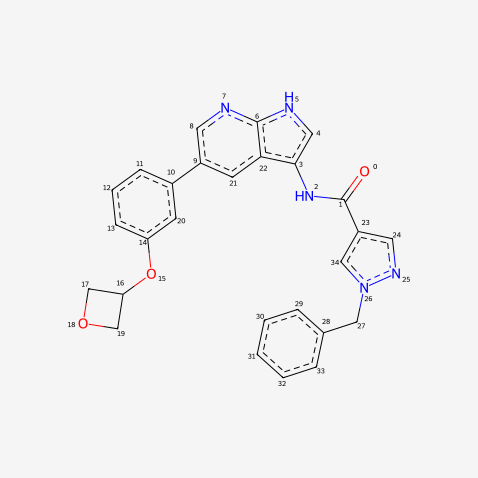 O=C(Nc1c[nH]c2ncc(-c3cccc(OC4COC4)c3)cc12)c1cnn(Cc2ccccc2)c1